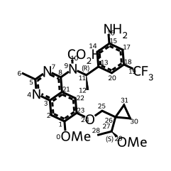 COc1cc2nc(C)nc(N(C(=O)O)[C@H](C)c3cc(N)cc(C(F)(F)F)c3)c2cc1OCC1([C@H](C)OC)CC1